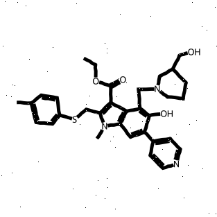 CCOC(=O)c1c(CSc2ccc(C)cc2)n(C)c2cc(-c3ccncc3)c(O)c(CN3CCCC(CO)C3)c12